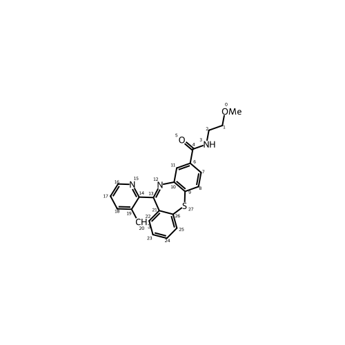 COCCNC(=O)c1ccc2c(c1)N=C(c1ncccc1C)c1ccccc1S2